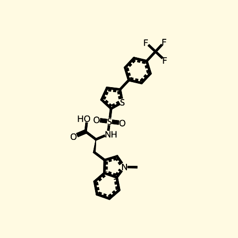 Cn1cc(C[C@H](NS(=O)(=O)c2ccc(-c3ccc(C(F)(F)F)cc3)s2)C(=O)O)c2ccccc21